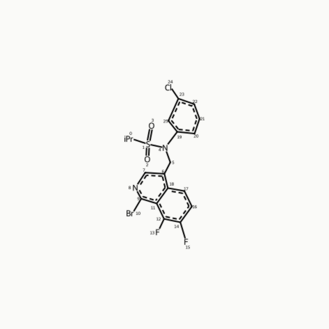 CC(C)S(=O)(=O)N(Cc1cnc(Br)c2c(F)c(F)ccc12)c1cccc(Cl)c1